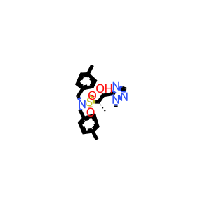 Cc1ccc(CN(Cc2ccc(C)cc2)S(=O)(=O)[C@@H](C)[C@H](O)c2ncnn2C)cc1